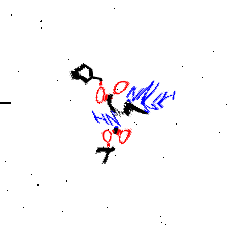 CC(C)(C)OC(=O)N[C@@H](Cc1c[nH]nn1)C(=O)OCc1ccccc1